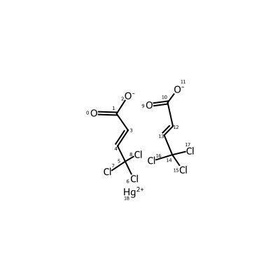 O=C([O-])/C=C/C(Cl)(Cl)Cl.O=C([O-])/C=C/C(Cl)(Cl)Cl.[Hg+2]